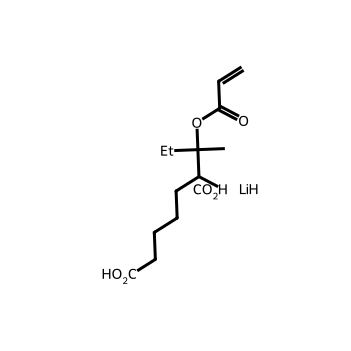 [CH2]CC(C)(OC(=O)C=C)C(CCCCC(=O)O)C(=O)O.[LiH]